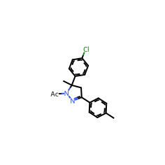 CC(=O)N1N=C(c2ccc(C)cc2)CC1(C)c1ccc(Cl)cc1